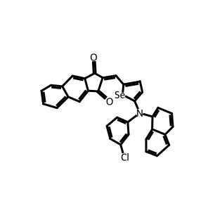 O=C1C(=Cc2ccc(N(c3cccc(Cl)c3)c3cccc4ccccc34)[se]2)C(=O)c2cc3ccccc3cc21